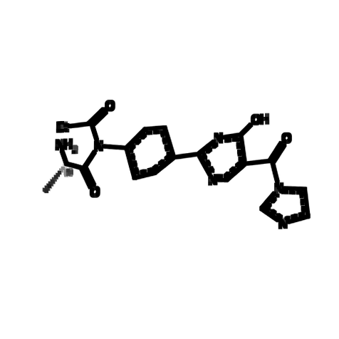 CCC(=O)N(C(=O)[C@H](C)N)c1ccc(-c2ncc(C(=O)n3ccnc3)c(O)n2)cc1